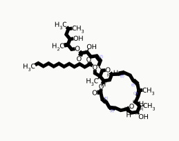 C=C(COC(=O)[C@H](O)C/C=C\C[C@@H]1O[C@@H]2/C=C/C/C=C/C(C)=C\[C@H]3O[C@@H](C/C=C/C=C/C(=O)O[C@H](C2)[C@@]1(C)COC(=O)CCCCCCCCCCC)C[C@H](O)[C@H]3C)C(O)CC(C)C